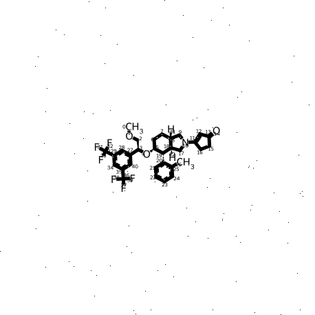 COC[C@@H](O[C@H]1CC[C@@H]2CN(C3=CC(=O)CC3)C[C@H]2[C@@H]1c1ccccc1C)c1cc(C(F)(F)F)cc(C(F)(F)F)c1